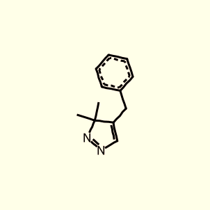 CC1(C)N=NC=C1Cc1ccccc1